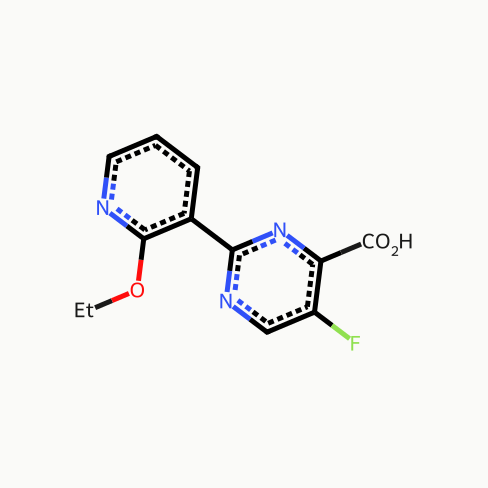 CCOc1ncccc1-c1ncc(F)c(C(=O)O)n1